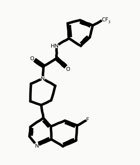 O=C(Nc1ccc(C(F)(F)F)cc1)C(=O)N1CCC(c2ccnc3ccc(F)cc23)CC1